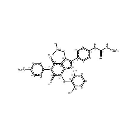 CONC(=O)Nc1ccc(-c2sc3c(c2CN(C)C)c(=O)n(-c2ccc(SC)nn2)c(=O)n3Cc2c(F)cccc2F)cc1